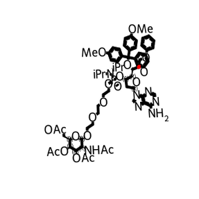 COc1ccc(C(OC(C(=O)COc2ccccc2)[C@H]2O[C@@H](n3cnc4c(N)ncnc43)C[C@@H]2OP(=O)(OCCOCCOCCO[C@@H]2O[C@H](COC(C)=O)[C@H](OC(C)=O)[C@H](OC(C)=O)[C@H]2NC(C)=O)N(C(C)C)C(C)C)(c2ccccc2)c2ccc(OC)cc2)cc1